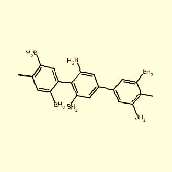 Bc1cc(-c2c(B)cc(-c3cc(B)c(C)c(B)c3)cc2B)c(B)cc1C